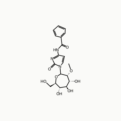 CO[C@H]1C(n2ccc(NC(=O)c3ccccc3)nc2=O)O[C@H](CO)[C@@H](O)[C@H](O)[C@H]1O